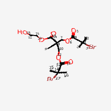 CC(C)(Br)C(=O)OCC(C)(COC(=O)C(C)(C)Br)C(=O)OCCO